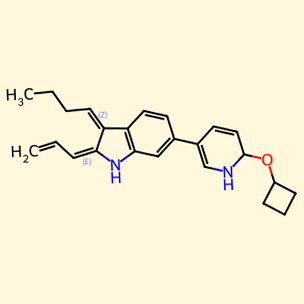 C=C/C=c1/[nH]c2cc(C3=CNC(OC4CCC4)C=C3)ccc2/c1=C/CCC